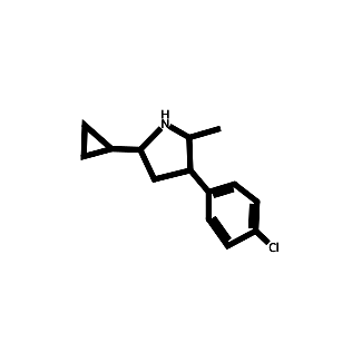 CC1NC(C2CC2)CC1c1ccc(Cl)cc1